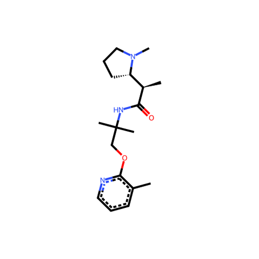 Cc1cccnc1OCC(C)(C)NC(=O)[C@H](C)[C@@H]1CCCN1C